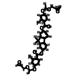 CC(OCC1CO1)Oc1ccc(C(=O)Oc2ccc3c(c2)C(C)(C)c2cc(OC(=O)c4ccc(OC(C)OCC5CO5)cc4F)ccc2-3)c(F)c1